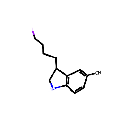 N#Cc1ccc2c(c1)C(CCCCI)CN2